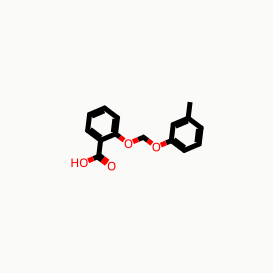 Cc1cccc(OCOc2ccccc2C(=O)O)c1